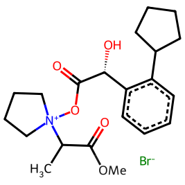 COC(=O)C(C)[N+]1(OC(=O)[C@H](O)c2ccccc2C2CCCC2)CCCC1.[Br-]